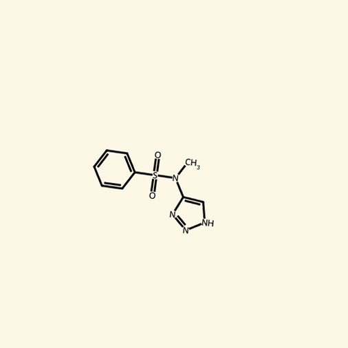 CN(c1c[nH]nn1)S(=O)(=O)c1ccccc1